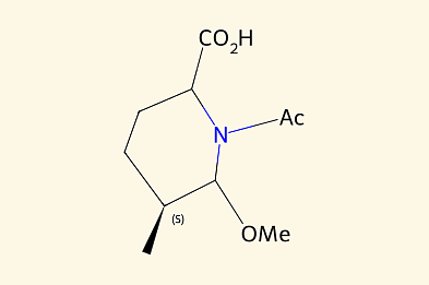 COC1[C@@H](C)CCC(C(=O)O)N1C(C)=O